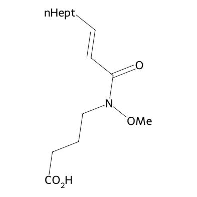 CCCCCCCC=CC(=O)N(CCCC(=O)O)OC